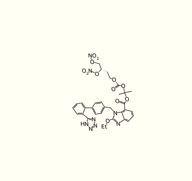 CCOc1nc2cccc(C(=O)OC(C)(C)OC(=O)OCC[C@@H](CO[N+](=O)[O-])O[N+](=O)[O-])c2n1Cc1ccc(-c2ccccc2-c2nnn[nH]2)cc1